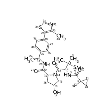 CSC(C)(C)[C@H](NC(=O)C1(F)CC1)C(=O)N1C[C@H](O)CC1C(=O)N[C@@H](C)c1ccc(-c2scnc2C)cc1